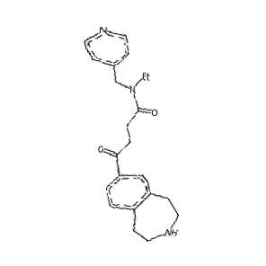 CCN(Cc1ccncc1)C(=O)CCC(=O)c1ccc2c(c1)CCNCC2